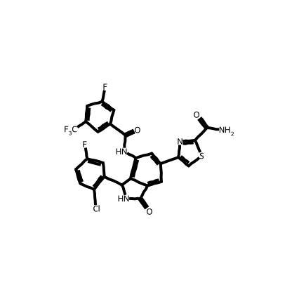 NC(=O)c1nc(-c2cc(NC(=O)c3cc(F)cc(C(F)(F)F)c3)c3c(c2)C(=O)NC3c2cc(F)ccc2Cl)cs1